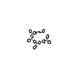 C(=Cc1ccc(N(c2ccccc2)c2ccc(N(c3ccccc3)c3ccc(N(c4ccccc4)c4ccc(-c5ccc(N(c6ccccc6)c6ccccc6)cc5)cc4)cc3)cc2)cc1)c1ccccc1